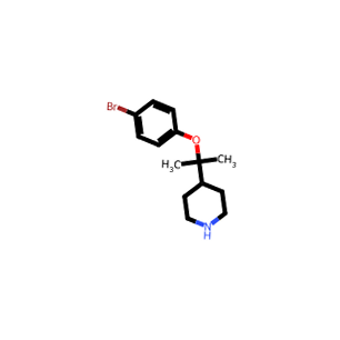 CC(C)(Oc1ccc(Br)cc1)C1CCNCC1